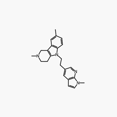 Cc1ccc2c(c1)c1c(n2CCc2cnc3c(ccn3C)c2)CCN(C)C1